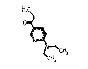 CCC(=O)c1ccc(N(CC)CC)nc1